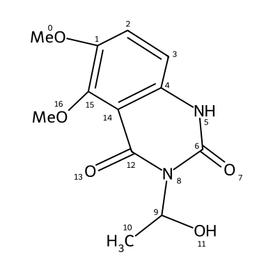 COc1ccc2[nH]c(=O)n(C(C)O)c(=O)c2c1OC